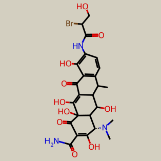 CC1c2ccc(NC(=O)C(Br)CO)c(O)c2C(=O)C2=C(O)C3(O)C(=O)C(C(N)=O)=C(O)[C@@H](N(C)C)C3C(O)C21